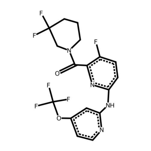 O=C(c1nc(Nc2cc(OC(F)(F)F)ccn2)ccc1F)N1CCCC(F)(F)C1